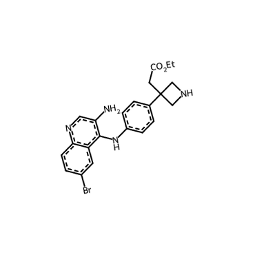 CCOC(=O)CC1(c2ccc(Nc3c(N)cnc4ccc(Br)cc34)cc2)CNC1